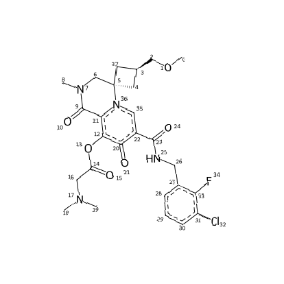 COC[C@H]1C[C@]2(CN(C)C(=O)c3c(OC(=O)CN(C)C)c(=O)c(C(=O)NCc4cccc(Cl)c4F)cn32)C1